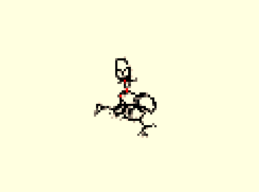 O=C(O)c1cc(F)c2nc(S(=O)(=O)C3C4CCC3CC(OCc3c(-c5ccccc5OC(F)(F)F)noc3C3CC3)C4)sc2c1